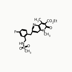 CCOC(=O)c1c(C)c2ncc(Cc3ccc(F)cc3CNS(C)(=O)=O)cc2n(C)c1=O